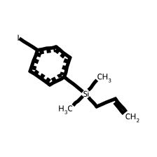 C=CC[Si](C)(C)c1ccc(I)cc1